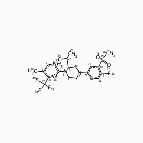 Cc1cnc(N2CCN(c3ccc(F)c(S(C)(=O)=O)c3)CC2C(C)C)nc1C(F)(F)F